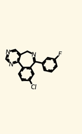 Fc1cccc(C2=NCc3cncnc3-c3ccc(Cl)cc32)c1